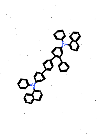 c1ccc(-c2cc(N(c3ccccc3)c3cccc4ccccc34)ccc2-c2ccc(-c3ccc(N(c4ccccc4)c4cccc5ccccc45)cc3)cc2)cc1